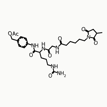 CC(=O)OCc1ccc(NC(=O)C(CCCNC(N)=O)NC(=O)CNC(=O)CCCCCN2C(=O)CC(C)C2=O)cc1